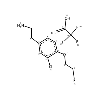 NCCc1ccc(OCCF)c(Cl)c1.O=C(O)C(F)(F)F